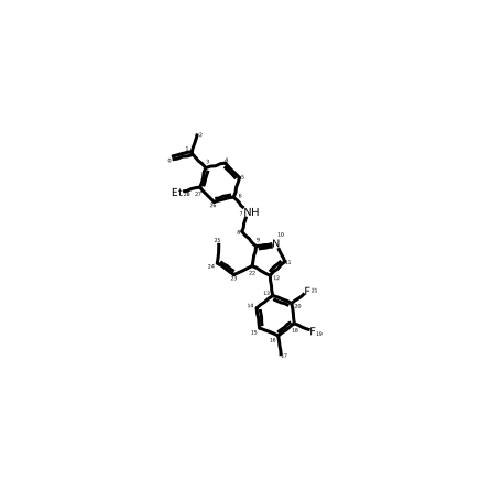 C=C(C)c1ccc(NCC2=NC=C(c3ccc(C)c(F)c3F)C2/C=C\C)cc1CC